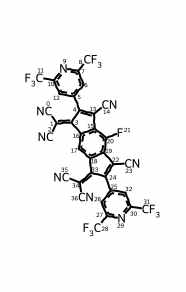 N#CC(C#N)=C1C(c2cc(C(F)(F)F)nc(C(F)(F)F)c2)=C(C#N)c2c1cc1c(c2F)C(C#N)=C(c2cc(C(F)(F)F)nc(C(F)(F)F)c2)C1=C(C#N)C#N